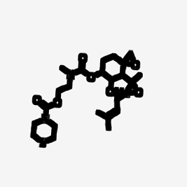 COC1C(OC(=O)N(C)CCOC(=O)N2CCSCC2)CCC2(CO2)C1C1(C)OC1CC=C(C)C